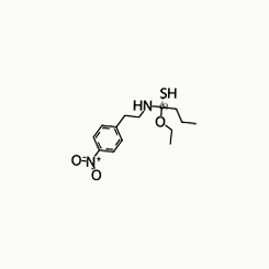 CCC[C@](S)(NCCc1ccc([N+](=O)[O-])cc1)OCC